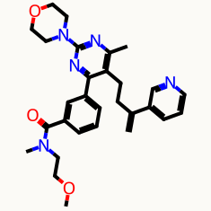 C=C(CCc1c(C)nc(N2CCOCC2)nc1-c1cccc(C(=O)N(C)CCOC)c1)c1cccnc1